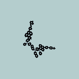 Cc1ccc(/C=C/c2ccc(-c3cc4cccc5c6c(c7cccc3c7c45)C(C)(C)c3cc(N(c4ccccc4)c4ccc(-c5ccc7cc(N(c8ccc9ccccc9c8)c8ccc9c%10c%11cccc%12cc(-c%13ccc(-c%14ccc(C(C)(C)C)cc%14)cc%13)c%13cccc(c%13c%12%11)c%10n(-c%10ccccc%10)c9c8)ccc7c5)cc4)ccc3-6)cc2)cc1